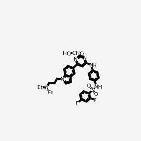 CCN(CC)CCCn1ccc2cc(-c3cc(Nc4ccc(NS(=O)(=O)c5ccc(F)cc5F)cc4)ncn3)ccc21.O=CO